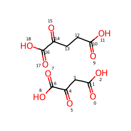 O=C(O)CC(=O)C(=O)O.O=C(O)CCC(=O)C(=O)O